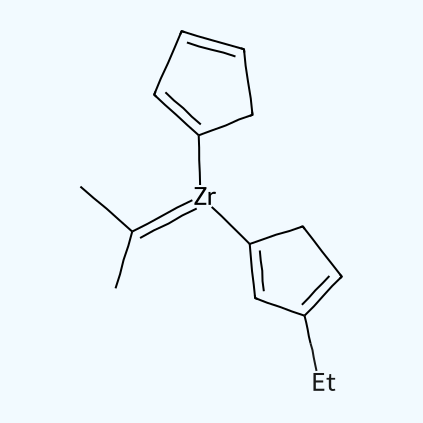 CCC1=CC[C]([Zr]([C]2=CC=CC2)=[C](C)C)=C1